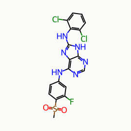 CS(=O)(=O)c1ccc(Nc2ncnc3[nH]c(Nc4c(Cl)cccc4Cl)nc23)cc1F